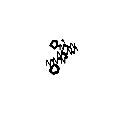 CC[C@@H]1c2nncn2-c2cnc(-n3cnc4ccccc43)nc2N1C1CCCC1